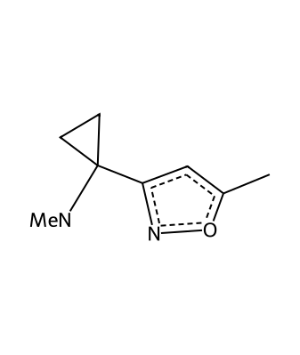 CNC1(c2cc(C)on2)CC1